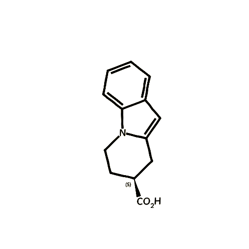 O=C(O)[C@H]1CCn2c(cc3ccccc32)C1